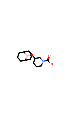 O=C(O)N1CCCC(CB2C3CCCC2CCC3)C1